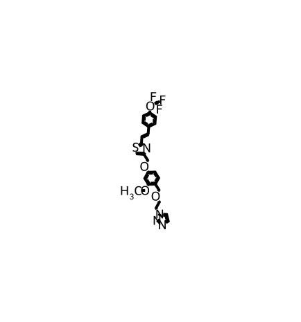 COc1cc(OCc2csc(C=Cc3ccc(OC(F)(F)F)cc3)n2)ccc1COCCn1ccnn1